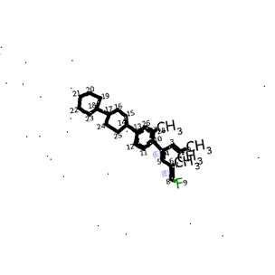 CC(C)=C/C(=C\C(C)=C\F)c1ccc(C2CCC(C3CCCCC3)CC2)cc1C